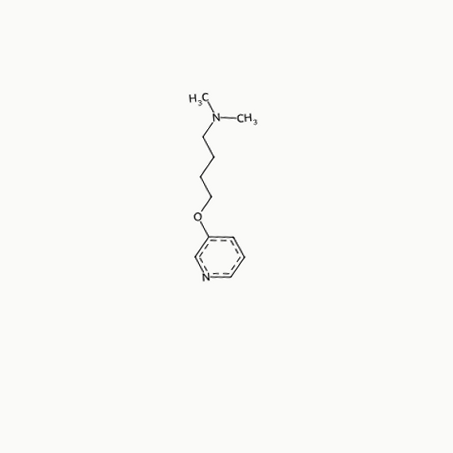 CN(C)CCCCOc1cccnc1